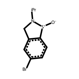 CC(C)N1Cc2cc(Br)ccc2[S+]1[O-]